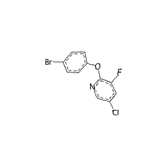 Fc1cc(Cl)cnc1Oc1ccc(Br)cc1